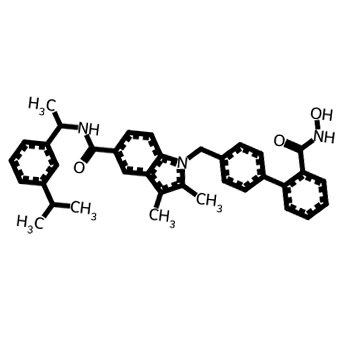 Cc1c(C)n(Cc2ccc(-c3ccccc3C(=O)NO)cc2)c2ccc(C(=O)NC(C)c3cccc(C(C)C)c3)cc12